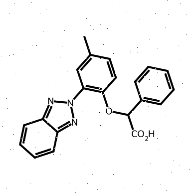 Cc1ccc(OC(C(=O)O)c2ccccc2)c(-n2nc3ccccc3n2)c1